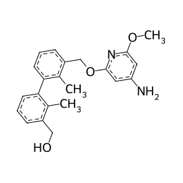 COc1cc(N)cc(OCc2cccc(-c3cccc(CO)c3C)c2C)n1